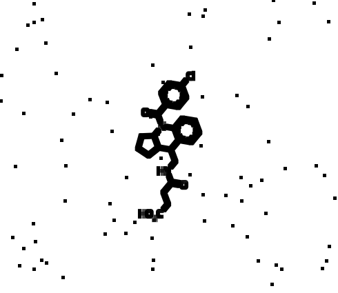 O=C(O)CCC(=O)NCC1c2ccccc2N(C(=O)c2ccc(Cl)cc2)C2CCCC12